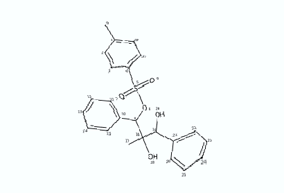 Cc1ccc(S(=O)(=O)OC(c2ccccc2)C(C)(O)C(O)c2ccccc2)cc1